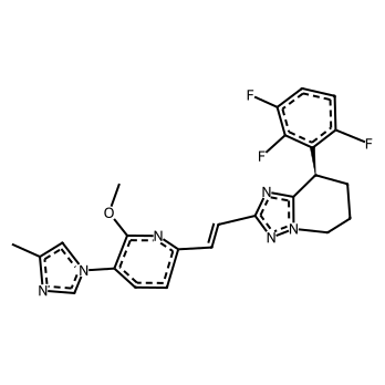 COc1nc(/C=C/c2nc3n(n2)CCC[C@@H]3c2c(F)ccc(F)c2F)ccc1-n1cnc(C)c1